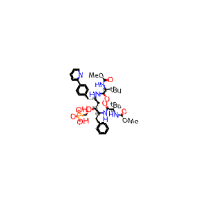 COC(=O)N[C@H](C(=O)N[C@@H](Cc1ccc(-c2ccccn2)cc1)C[C@H](OCP(=O)(O)O)[C@H](Cc1ccccc1)NC(=O)[C@@H](NC(=O)OC)C(C)(C)C)C(C)(C)C